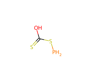 OC(=S)SP